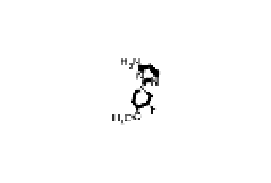 CO[C@H]1CCN(c2nccc(N)n2)C[C@@H]1F